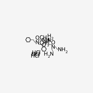 CC(C)(NC(=O)[C@@H](N)CC(=O)N(CCN)CCN)C(=O)N(CCc1ccccc1)CCc1ccccc1.Cl.Cl.Cl